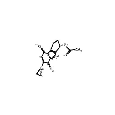 CC(=O)O[C@H]1CCc2c1[nH]c1c2C(=O)C=C(N2CC2)C1=O